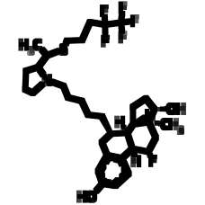 CC(SCCCC(F)(F)C(F)(F)F)C1CCCN1CCCCC[C@@H]1Cc2cc(O)ccc2[C@@H]2[C@@H]1[C@@H]1CC[C@H](O)[C@@]1(C)C[C@@H]2F